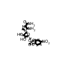 NC(=O)c1ncn([C@@H]2O[C@H](COP(=O)(O)Oc3ccc([N+](=O)[O-])cc3)[C@@H](O)[C@H]2O)c1N